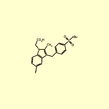 CCCCS(=O)(=O)c1ccc(Cc2c(C)n(CC(=O)O)c3ccc(F)cc23)cc1